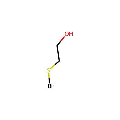 OCC[S][Bi]